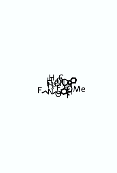 COc1c(F)cc(OCCNCCCF)c(F)c1[C@@H]1c2[nH]c3ccccc3c2CC(C)(C)N1CC(F)(F)F